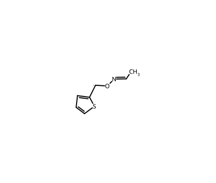 C/C=N/O[CH]c1cccs1